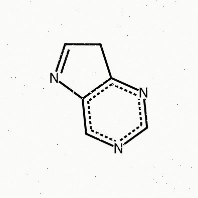 C1=Nc2cncnc2C1